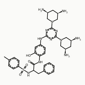 Cc1ccc(S(=O)(=O)NC(Cc2ccccc2)C(=O)Nc2ccc(Nc3nc(N4C[C@H](N)C[C@H](N)C4)nc(N4C[C@H](N)C[C@H](N)C4)n3)cc2O)cc1